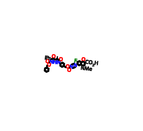 CNC1C=C(C(=O)O)C(=O)c2cc(F)c(N3CCN(C(=O)OCc4ccc(NC(=O)[C@H](C)CC(=O)C(NC(=O)OCc5ccccc5)C(C)C)cc4)CC3)cc21